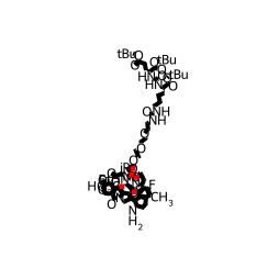 CC[C@@]1(OC(=O)[C@@H](NC(=O)[C@@H]2CCCN2C(=O)[C@H](CC(=O)O)NC(=O)CCOCCOCCOCCNC(=O)NCCCC[C@H](NC(=O)N[C@@H](CCC(=O)OC(C)(C)C)C(=O)OC(C)(C)C)C(=O)OC(C)(C)C)C(C)C)C(=O)OCc2c1cc1n(c2=O)Cc2c-1nc1cc(F)c(C)c3c1c2[C@@H](N)CC3